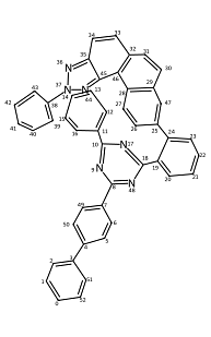 c1ccc(-c2ccc(-c3nc(-c4ccccc4)nc(-c4ccccc4-c4ccc5c(ccc6ccc7nn(-c8ccccc8)nc7c65)c4)n3)cc2)cc1